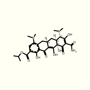 CC(C)OC(=O)c1cc(N(C)C)c2c(c1O)C(=O)C1=C(O)[C@]3(O)C(=O)C(C(N)=O)=C(O)[C@@H](N(C)C)[C@@H]3C[C@@H]1C2